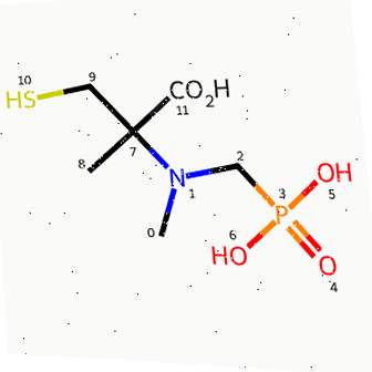 CN(CP(=O)(O)O)C(C)(CS)C(=O)O